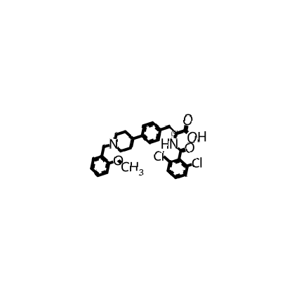 COc1ccccc1CN1CCC(c2ccc(C[C@H](NC(=O)c3c(Cl)cccc3Cl)C(=O)O)cc2)CC1